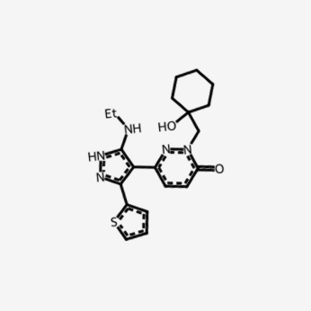 CCNc1[nH]nc(-c2cccs2)c1-c1ccc(=O)n(CC2(O)CCCCC2)n1